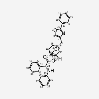 O=C(O[C@H]1C[N+]2(Cc3coc(-c4ccccc4)n3)CCC1CC2)[C@H](Nc1ccccc1)c1ccccc1